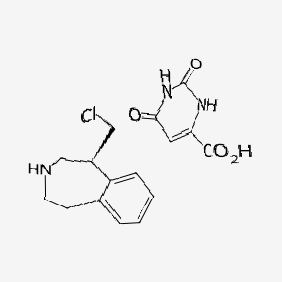 ClC[C@@H]1CNCCc2ccccc21.O=C(O)c1cc(=O)[nH]c(=O)[nH]1